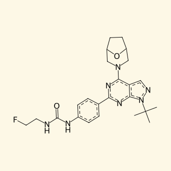 CC(C)(C)n1ncc2c(N3CC4CCC(C3)O4)nc(-c3ccc(NC(=O)NCCF)cc3)nc21